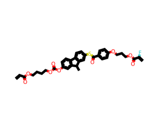 C=CC(=O)OCCCCOC(=O)Oc1ccc2c(c1)C(C)c1cc(SC(=O)c3ccc(OCCCOC(=O)C(=C)F)cc3)ccc1-2